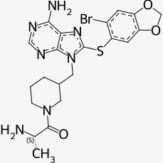 C[C@H](N)C(=O)N1CCCC(Cn2c(Sc3cc4c(cc3Br)OCO4)nc3c(N)ncnc32)C1